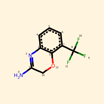 NC1=Nc2cccc(C(F)(F)F)c2OC1